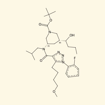 CCCC(O)[C@@H]1C[C@H](N(CC(C)C)C(=O)c2nnn(-c3ccccc3F)c2CCCCOC)CN(C(=O)OC(C)(C)C)C1